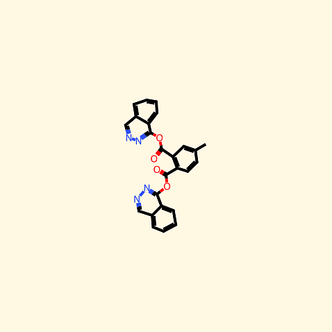 Cc1ccc(C(=O)Oc2nncc3ccccc23)c(C(=O)Oc2nncc3ccccc23)c1